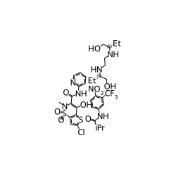 CC(C)C(=O)Nc1ccc([N+](=O)[O-])c(C(F)(F)F)c1.CC[C@@H](CO)NCCN[C@@H](CC)CO.CN1C(C(=O)Nc2ccccn2)=C(O)c2sc(Cl)cc2S1(=O)=O